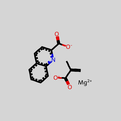 C=C(C)C(=O)[O-].O=C([O-])c1ccc2ccccc2n1.[Mg+2]